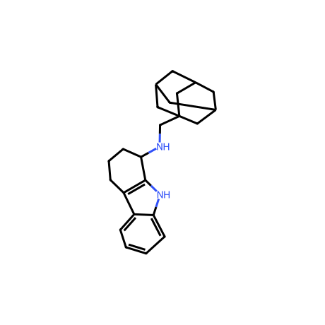 c1ccc2c3c([nH]c2c1)C(NCC12CC4CC(CC(C4)C1)C2)CCC3